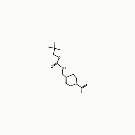 C=C(C)C1CC=C(CNC(=O)OCC(C)(C)C)CC1